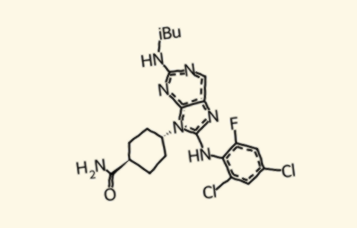 CCC(C)Nc1ncc2nc(Nc3c(F)cc(Cl)cc3Cl)n([C@H]3CC[C@H](C(N)=O)CC3)c2n1